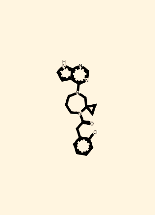 O=C(Cc1ccccc1Cl)N1CCCN(c2ncnc3[nH]ccc23)CC12CC2